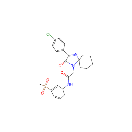 CS(=O)(=O)C1=CC(NC(=O)CN2C(=O)C(c3ccc(Cl)cc3)=NC23CCCCC3)CC=C1